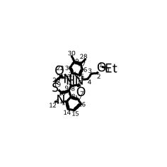 CCOCCCNC(=O)C1c2c(n(C)c3ccccc23)SCC(=O)N1c1ccc(C)c(C)c1